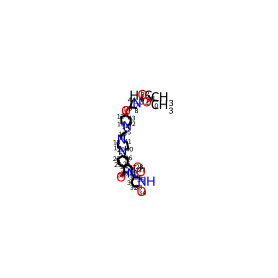 CC(C)(C)OC(=O)N1CC(OC2CCN(CCN3CCN(c4ccc5c(c4)C(=O)N(C4CCC(=O)NC4=O)C5=O)CC3)CC2)C1